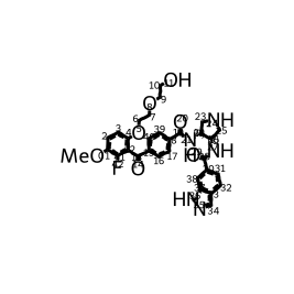 COc1ccc(OCCOCCO)c(C(=O)c2ccc(C(=O)N[C@@H]3CNC[C@H]3NC(=O)c3ccc4cn[nH]c4c3)cc2)c1F